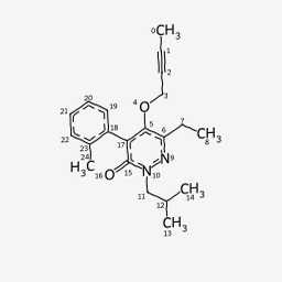 CC#CCOc1c(CC)nn(CC(C)C)c(=O)c1-c1ccccc1C